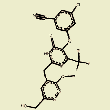 COc1nnc(CO)cc1Cc1nc(C(F)(F)F)c(Oc2cc(Cl)cc(C#N)c2)c(=O)[nH]1